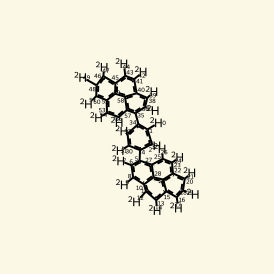 [2H]c1c([2H])c(-c2c([2H])c([2H])c3c([2H])c([2H])c4c([2H])c([2H])c([2H])c5c([2H])c([2H])c2c3c45)c([2H])c([2H])c1-c1c([2H])c([2H])c2c([2H])c([2H])c3c([2H])c([2H])c([2H])c4c([2H])c([2H])c1c2c34